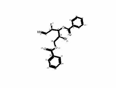 N=C[C@@H](F)C(OC(=O)c1ccccc1)[C@@H](Br)COC(=O)c1ccccc1